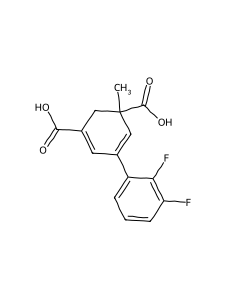 CC1(C(=O)O)C=C(c2cccc(F)c2F)C=C(C(=O)O)C1